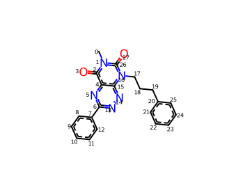 Cn1c(=O)c2nc(-c3ccccc3)nnc2n(CCCc2ccccc2)c1=O